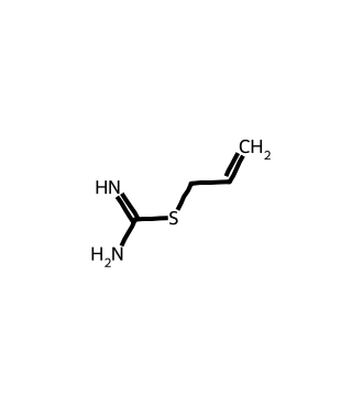 C=CCSC(=N)N